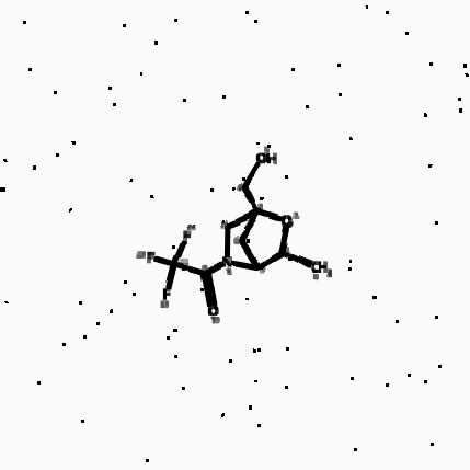 C[C@@H]1O[C@]2(CO)CC1N(C(=O)C(F)(F)F)C2